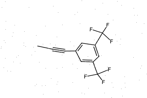 CC#Cc1cc(C(F)(F)F)cc(C(F)(F)F)c1